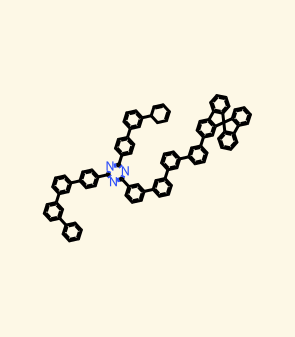 C1=CCC(c2cccc(-c3ccc(-c4nc(-c5ccc(-c6cccc(-c7cccc(-c8ccccc8)c7)c6)cc5)nc(-c5cccc(-c6cccc(-c7cccc(-c8cccc(-c9ccc%10c(c9)C9(c%11ccccc%11-c%11ccccc%119)c9ccccc9-%10)c8)c7)c6)c5)n4)cc3)c2)C=C1